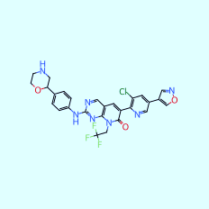 O=c1c(-c2ncc(-c3cnoc3)cc2Cl)cc2cnc(Nc3ccc(C4CNCCO4)cc3)nc2n1CC(F)(F)F